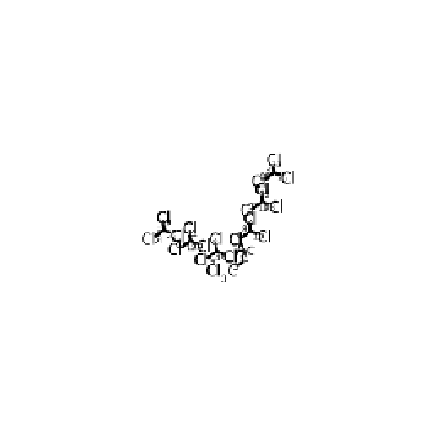 CC(=O)CC(Cl)(Cl)Cl.ClC(Cl)Cl.ClC(Cl)Cl.ClC(Cl)Cl.ClC(Cl)Cl.ClC(Cl)Cl.ClC(Cl)Cl